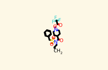 C=CCN(C(=O)C1CCN(OC(=O)C(F)(F)F)CC1)S(=O)(=O)Cc1ccccc1